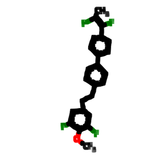 C/C(F)=C(\F)c1ccc(-c2ccc(CCc3cc(F)c(OC(F)(F)F)c(F)c3)cc2)cc1